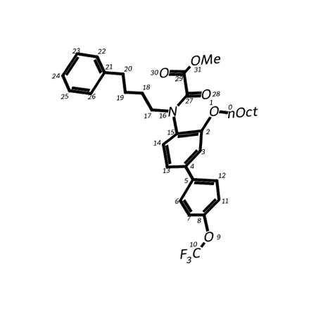 CCCCCCCCOc1cc(-c2ccc(OC(F)(F)F)cc2)ccc1N(CCCCc1ccccc1)C(=O)C(=O)OC